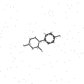 Cc1ccc(N2CCN(C)CC2C)cc1